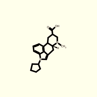 CN1CC(C(=O)O)CC2c3cccc4c3c(cn4C3CCCC3)C[C@H]21